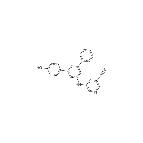 N#Cc1cncc(Nc2cc(-c3ccccc3)cc(-c3ccc(O)cc3)c2)c1